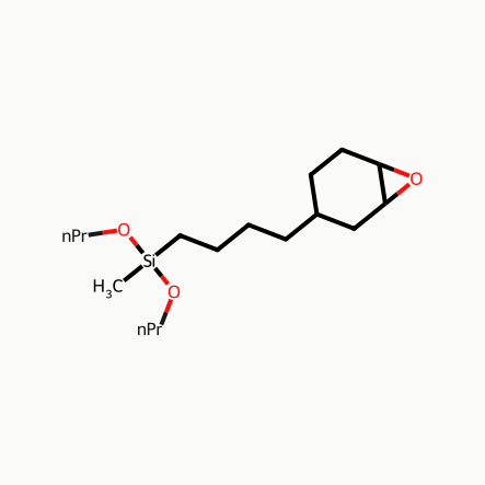 CCCO[Si](C)(CCCCC1CCC2OC2C1)OCCC